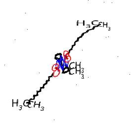 Cc1ccc2c(nc(-c3nc4ccccc4n3C(=O)OCCCCCCCCCCCCCCCC(C)C)n2C(=O)OCCCCCCCCCCCCCCCC(C)C)c1C